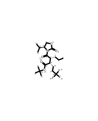 CCC[C@@H](C(=O)N1C(=O)OC[C@@H]1C(C)C)[C@H](CCC(F)(F)F)C(=O)OC(C)(C)C